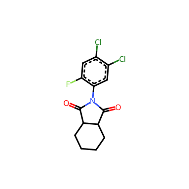 O=C1C2CCCCC2C(=O)N1c1cc(Cl)c(Cl)cc1F